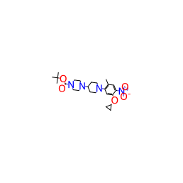 Cc1cc([N+](=O)[O-])c(OC2CC2)cc1N1CCC(N2CCN(C(=O)OC(C)(C)C)CC2)CC1